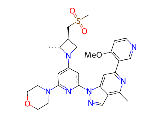 COc1ccncc1-c1cc2c(cnn2-c2cc(N3C[C@H](CS(C)(=O)=O)[C@H]3C)cc(N3CCOCC3)n2)c(C)n1